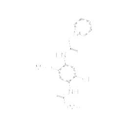 COC(=O)Nc1cc(OC)c(NC(=O)C[n+]2ccccc2)cc1O